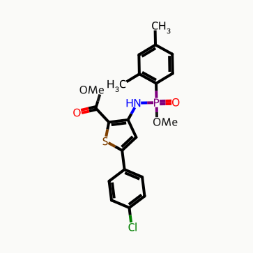 COC(=O)c1sc(-c2ccc(Cl)cc2)cc1NP(=O)(OC)c1ccc(C)cc1C